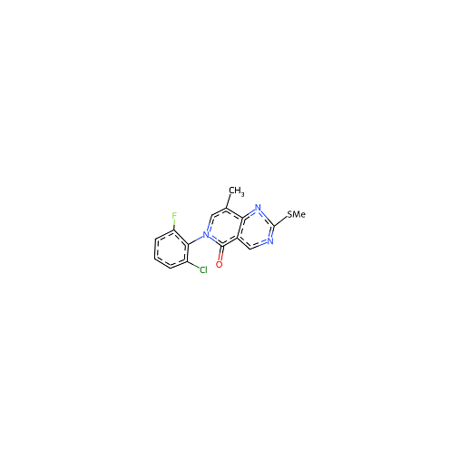 CSc1ncc2c(=O)n(-c3c(F)cccc3Cl)cc(C)c2n1